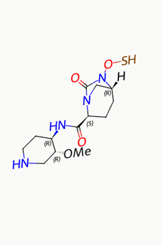 CO[C@@H]1CNCC[C@H]1NC(=O)[C@@H]1CC[C@@H]2CN1C(=O)N2OS